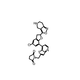 O=C1CCC(=O)N1Cc1cc2nccc(-c3cc(Cl)cc4c3OC(c3onc5c3CNCC5)C4)c2s1